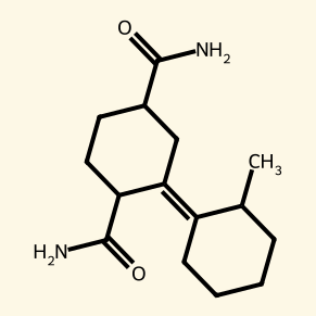 CC1CCCCC1=C1CC(C(N)=O)CCC1C(N)=O